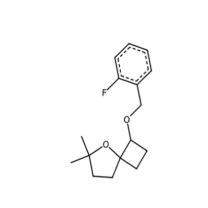 CC1(C)CCC2(CCC2OCc2ccccc2F)O1